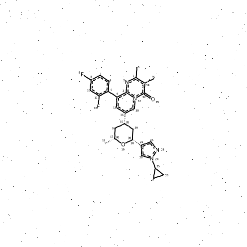 Cc1nc2c(-c3ccc(F)cc3F)cc([C@H]3C[C@@H](C)O[C@@H](c4cnn(C5CC5)c4)C3)cn2c(=O)c1C